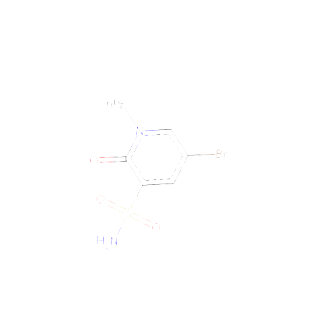 CCCn1cc(Br)cc(S(N)(=O)=O)c1=O